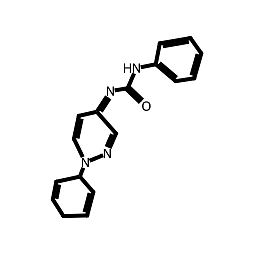 O=C(N=c1ccn(C2C=CCC=C2)nc1)Nc1ccccc1